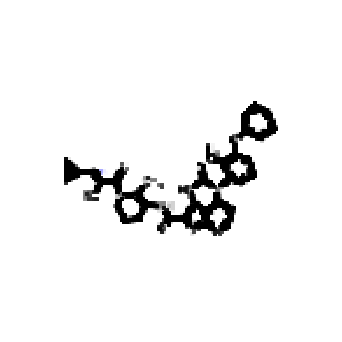 CC1=C(NC(=O)c2sc3nccc4c3c2NC(=O)N4c2cccc(Oc3ccccc3)c2C)CCCN1C(=O)/C(C#N)=C/C1CC1